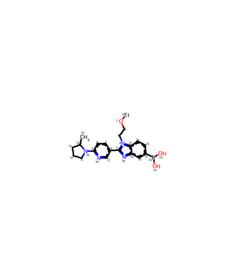 CCOCCn1c(-c2ccc(N3CCCC3C)nc2)nc2cc(B(O)O)ccc21